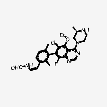 CCOc1c(Cl)c(-c2c(C)ccc(/C=C\NC=O)c2C)c(F)c2ncnc(N3CCN[C@H](C)C3)c12